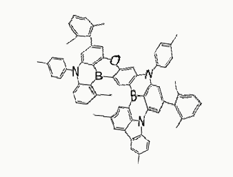 Cc1ccc(N2c3cccc(C)c3B3c4cc5c(cc4Oc4cc(-c6c(C)cccc6C)cc2c43)N(c2ccc(C)cc2)c2cc(-c3c(C)cccc3C)cc3c2B5c2cc(C)cc4c5cc(C)ccc5n-3c24)cc1